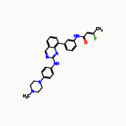 CC(F)=CC(=O)Nc1cccc(-c2cccc3cnc(Nc4ccc(N5CCN(C)CC5)cc4)nc23)c1